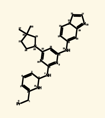 CC(C)CC1=CC=CC(Nc2nc(Nc3ccn4ccnc4c3)cc(N3CCC(C)(C)C3)n2)N1